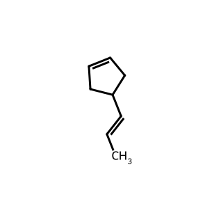 CC=CC1CC=CC1